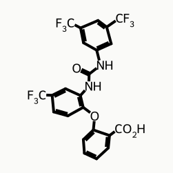 O=C(Nc1cc(C(F)(F)F)cc(C(F)(F)F)c1)Nc1cc(C(F)(F)F)ccc1Oc1ccccc1C(=O)O